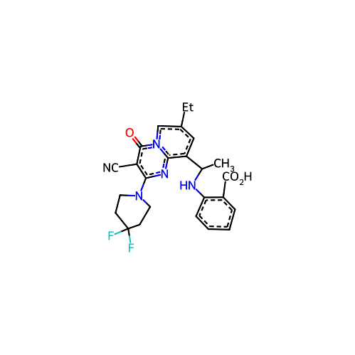 CCc1cc(C(C)Nc2ccccc2C(=O)O)c2nc(N3CCC(F)(F)CC3)c(C#N)c(=O)n2c1